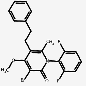 COc1c(CCc2ccccc2)c(C)n(-c2c(F)cccc2F)c(=O)c1Br